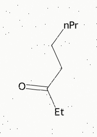 [CH2]CC(=O)CCCCC